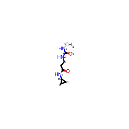 CNC(=O)NCCC(=O)NC1CC1